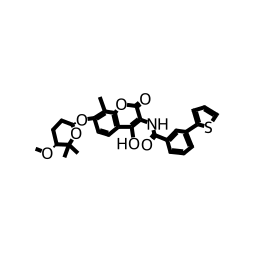 CO[C@@H]1CC[C@H](Oc2ccc3c(O)c(NC(=O)c4cccc(-c5cccs5)c4)c(=O)oc3c2C)OC1(C)C